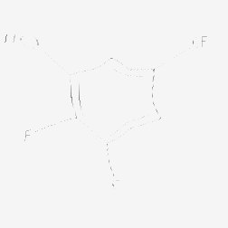 Oc1cc(C(F)(F)F)cc(Cl)c1F